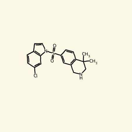 CC1(C)CNCc2cc(S(=O)(=O)n3ccc4ccc(Cl)cc43)ccc21